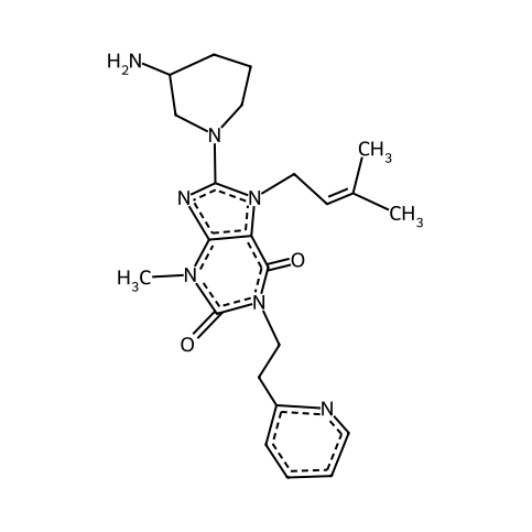 CC(C)=CCn1c(N2CCCC(N)C2)nc2c1c(=O)n(CCc1ccccn1)c(=O)n2C